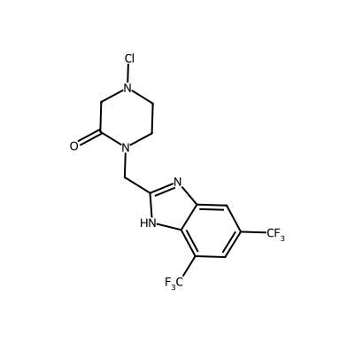 O=C1CN(Cl)CCN1Cc1nc2cc(C(F)(F)F)cc(C(F)(F)F)c2[nH]1